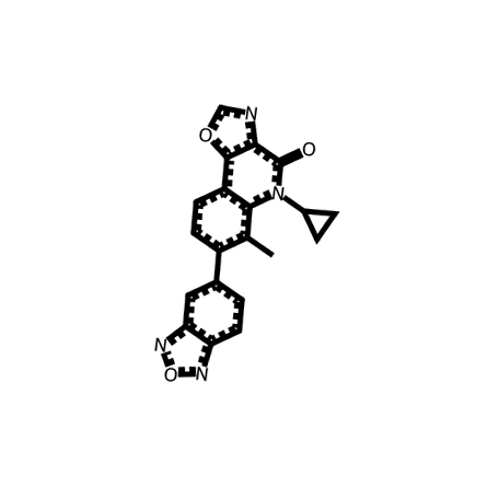 Cc1c(-c2ccc3nonc3c2)ccc2c3ocnc3c(=O)n(C3CC3)c12